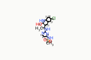 C[C@H](Nc1nccc(NS(C)(=O)=O)n1)C1=Cc2cc(Cl)ccc2NC1O